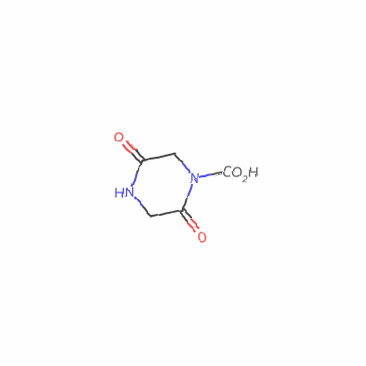 O=C1CN(C(=O)O)C(=O)CN1